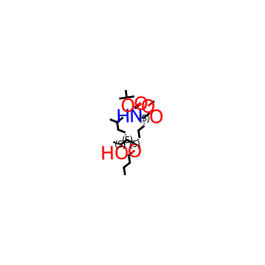 CCCCO[C@@H](CCC[C@H](NC(=O)OC(C)(C)C)C(=O)OC)[C@@H](CCC(C)C)[C@H](C)O